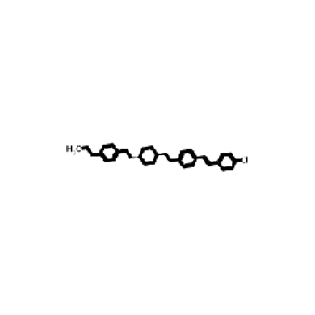 CCCc1ccc(CC[C@H]2CC[C@H](CCc3ccc(/C=C/c4ccc(Cl)cc4)cc3)CC2)cc1